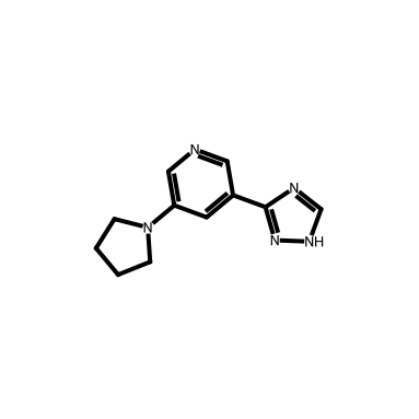 c1nc(-c2cncc(N3CCCC3)c2)n[nH]1